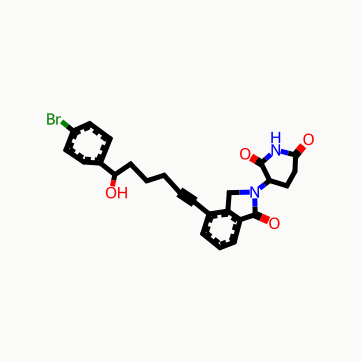 O=C1CCC(N2Cc3c(C#CCCCC(O)c4ccc(Br)cc4)cccc3C2=O)C(=O)N1